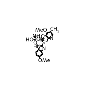 COc1ccc2[nH]c([S+]([O-])Cc3ncc(C)c(OC)c3C)nc2c1.O=P(O)(O)O